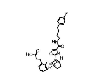 O=C(O)CCc1ccccc1C[C@@H]1[C@H](c2nc(C(=O)NCCCCc3ccc(F)cc3)co2)[C@H]2CC[C@@H]1O2